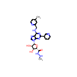 CNNC(=O)[C@H]1O[C@@H](n2cnc3c(NCc4cc(C)ccn4)nc(-c4cccnc4)nc32)[C@H](O)[C@@H]1O